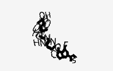 O[C@@H]1CO[C@H]2[C@@H]1OC[C@H]2Oc1nc2nc(OC3CCc4cc(-c5ccsc5)cc(F)c43)c(Cl)cc2[nH]1